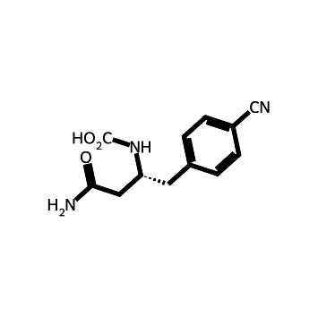 N#Cc1ccc(C[C@H](CC(N)=O)NC(=O)O)cc1